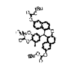 COc1cc(C2c3c(ccc4cc(OC(=O)OC(C)(C)C)ccc34)Oc3ccc4cc(OC(=O)OC(C)(C)C)ccc4c32)cc(C)c1OC(=O)OC(C)(C)C